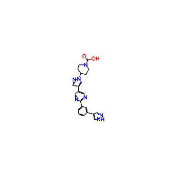 O=C(O)N1CCC(n2cc(-c3cnc(-c4cccc(-c5cn[nH]c5)c4)nc3)cn2)CC1